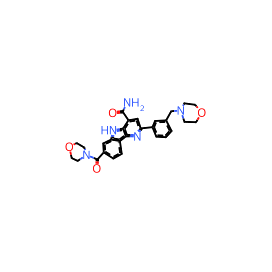 NC(=O)c1cc(-c2cccc(CN3CCOCC3)c2)nc2c1[nH]c1cc(C(=O)N3CCOCC3)ccc12